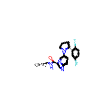 O=CCNC(=O)c1cnc2ccc(N3CCC[C@@H]3c3cc(F)ccc3F)cn12